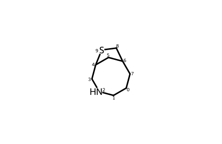 C1CNCC2CC(C1)CS2